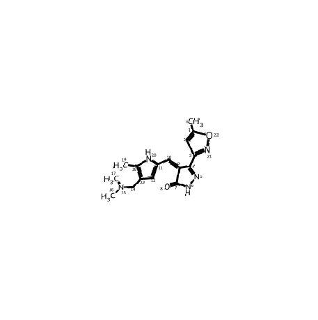 Cc1cc(C2=NNC(=O)C2=Cc2cc(CN(C)C)c(C)[nH]2)no1